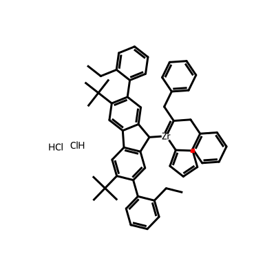 CCc1ccccc1-c1cc2c(cc1C(C)(C)C)-c1cc(C(C)(C)C)c(-c3ccccc3CC)cc1[CH]2[Zr]([C]1=CC=CC1)=[C](Cc1ccccc1)Cc1ccccc1.Cl.Cl